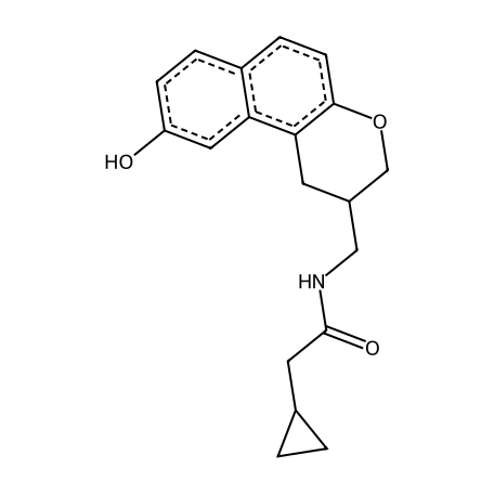 O=C(CC1CC1)NCC1COc2ccc3ccc(O)cc3c2C1